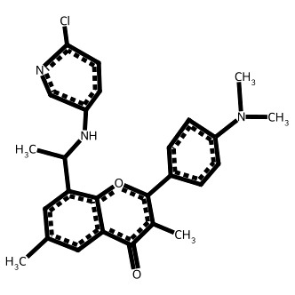 Cc1cc(C(C)Nc2ccc(Cl)nc2)c2oc(-c3ccc(N(C)C)cc3)c(C)c(=O)c2c1